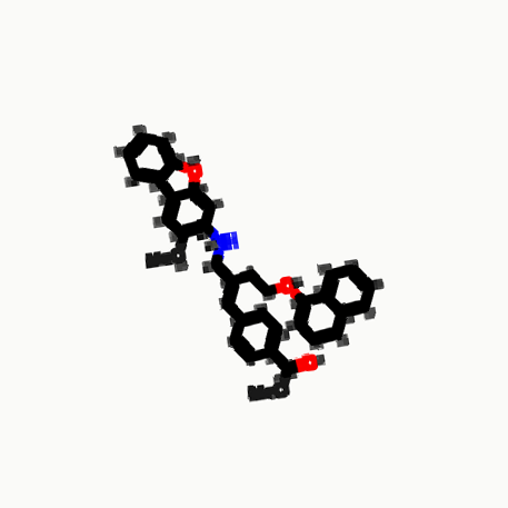 COC(=O)c1ccc(C=C(CCOc2cccc3ccccc23)CNc2cc3oc4ccccc4c3cc2OC)cc1